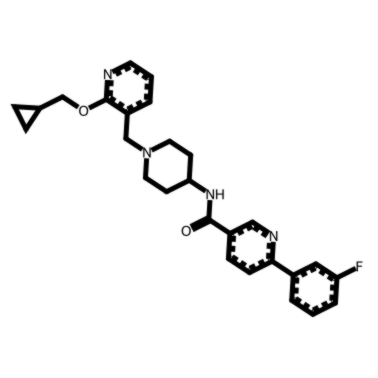 O=C(NC1CCN(Cc2cccnc2OCC2CC2)CC1)c1ccc(-c2cccc(F)c2)nc1